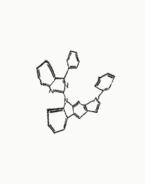 c1ccc(-c2nc(-n3c4ccccc4c4cc5ccn(-c6ccccc6)c5cc43)nc3ccccc23)cc1